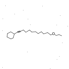 CCCOCCCCCCCCCCC#CC1CCCCC1